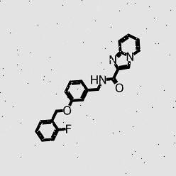 O=C(NCc1cccc(OCc2ccccc2F)c1)c1cn2ccccc2n1